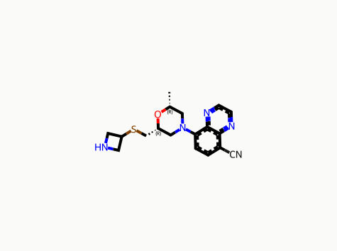 C[C@@H]1CN(c2ccc(C#N)c3nccnc23)C[C@H](CSC2CNC2)O1